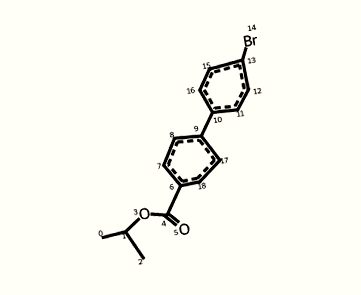 CC(C)OC(=O)c1ccc(-c2ccc(Br)cc2)cc1